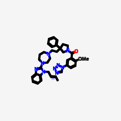 C/C=C/Cn1c(N2CCCN(CCC3(c4ccccc4)CCN(C(=O)c4cc(-n5cnnn5)ccc4OC)C3)CC2)nc2ccccc21